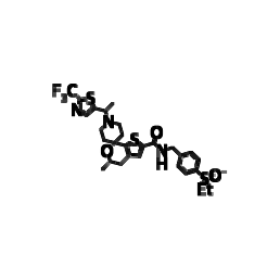 CC[S+]([O-])c1ccc(CNC(=O)c2cc3c(s2)C2(CCN(C(C)c4cnc(C(F)(F)F)s4)CC2)O[C@H](C)C3)cc1